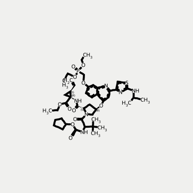 C=C[C@@H]1C[C@]1(NC(=O)[C@@H]1C[C@@H](Oc2cc(-c3csc(NC(C)C)n3)nc3cc(OCP(=O)(OCC)OCC)ccc23)CN1C(=O)C(NC(=O)OC1CCCC1)C(C)(C)C)C(=O)OCC